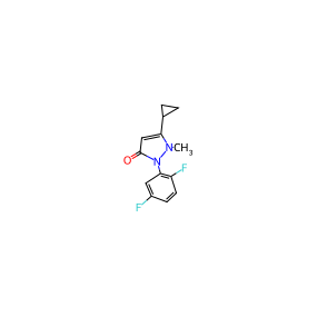 Cn1c(C2CC2)cc(=O)n1-c1cc(F)ccc1F